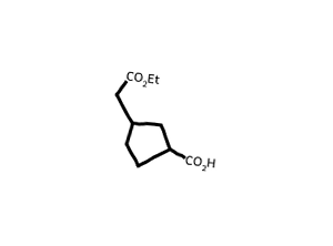 CCOC(=O)CC1CCC(C(=O)O)C1